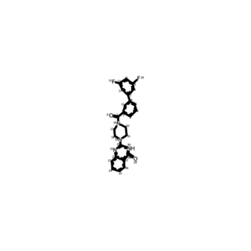 O=C(c1cccc(-c2cc(F)cc(F)c2)c1)N1CCN(c2nc3ccccc3c(=O)[nH]2)CC1